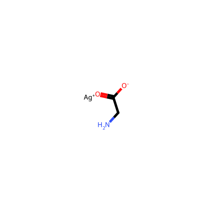 NCC(=O)[O-].[Ag+]